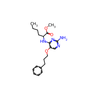 CCCCC(Nc1nc(N)ncc1OCCCc1ccccc1)C(=O)OC